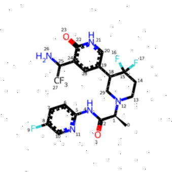 C[C@@H](C(=O)Nc1ccc(F)cn1)N1CCC(F)(F)C(c2c[nH]c(=O)c(C(N)C(F)(F)F)c2)C1